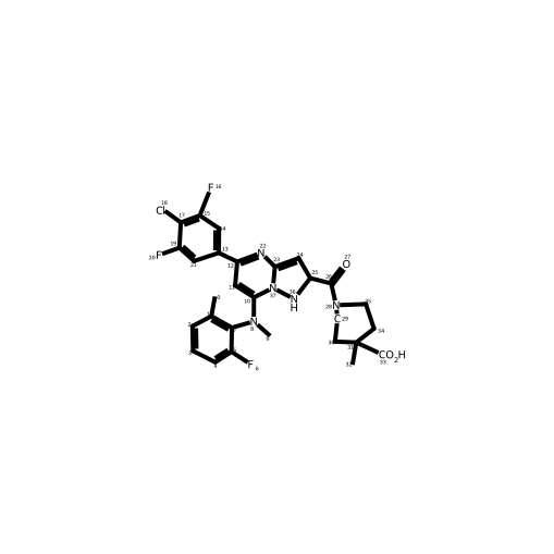 Cc1cccc(F)c1N(C)C1=CC(c2cc(F)c(Cl)c(F)c2)=NC2=CC(C(=O)N3CCC(C)(C(=O)O)CC3)NN21